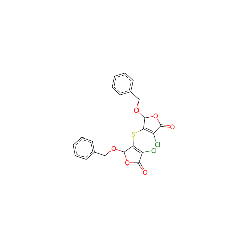 O=C1OC(OCc2ccccc2)C(SC2=C(Cl)C(=O)OC2OCc2ccccc2)=C1Cl